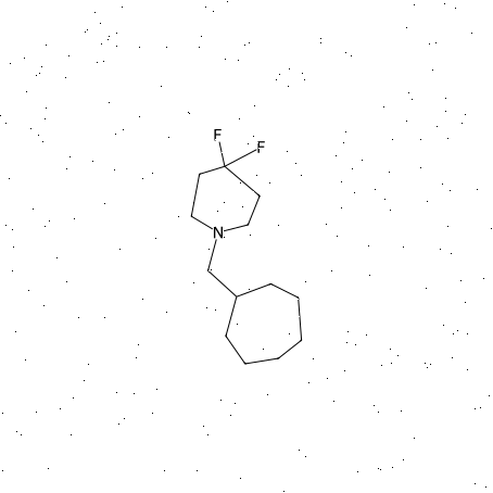 FC1(F)CCN(CC2CCCCCC2)CC1